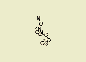 CC1(C)c2ccccc2Oc2cccc(-c3cccc(-c4ccc5ccc6ccc(-c7cccc(C#N)c7)nc6c5n4)c3)c21